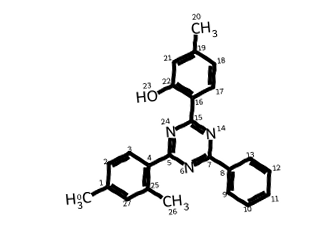 Cc1ccc(-c2nc(-c3ccccc3)nc(-c3ccc(C)cc3O)n2)c(C)c1